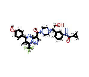 COc1ccc(-c2nc3c(C(=O)N4CCN([C@@H](CO)c5cccc(NC(=O)C6CC6)c5)CC4)cnn3c(C(F)(F)F)c2C)cc1